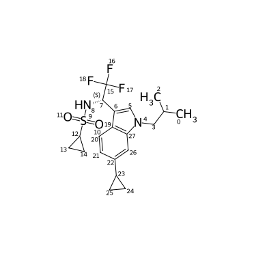 CC(C)Cn1cc([C@H](NS(=O)(=O)C2CC2)C(F)(F)F)c2ccc(C3CC3)cc21